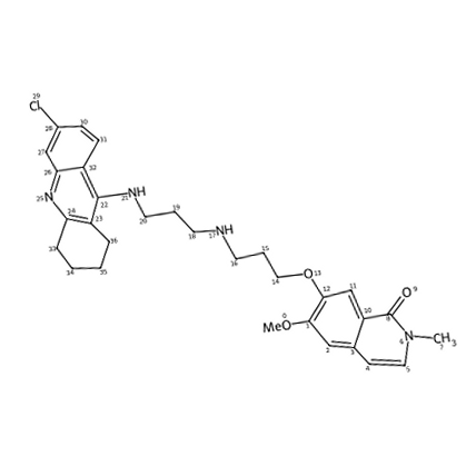 COc1cc2ccn(C)c(=O)c2cc1OCCCNCCCNc1c2c(nc3cc(Cl)ccc13)CCCC2